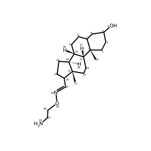 C[C@]12CCC(O)CC1CC[C@@H]1[C@H]2CC[C@]2(C)C(/C=N/OCCN)CC[C@@H]12